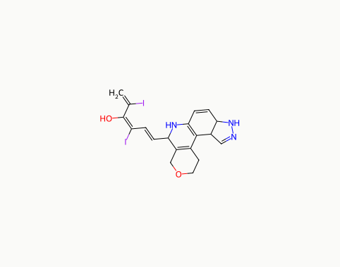 C=C(I)/C(O)=C(I)\C=C\C1NC2=C(C3=C1COCC3)C1C=NNC1C=C2